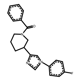 O=C(c1ccccc1)N1CCCC(c2cn(-c3ccc(F)cc3)cn2)C1